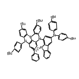 Cn1c2ccccc2c2cc(N(c3ccc(C(C)(C)C)cc3)c3ccc(C(C)(C)C)cc3)cc(N3c4ccc(C(C)(C)C)cc4B4c5cc(C(C)(C)C)ccc5N(c5ccc(C(C)(C)C)cc5)c5cc(-c6ccccc6)cc3c54)c21